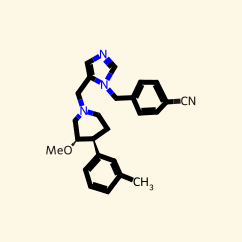 CO[C@@H]1CN(Cc2cncn2Cc2ccc(C#N)cc2)CC[C@H]1c1cccc(C)c1